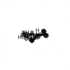 NC(=O)[C@H]1O[C@@H](CNC(=O)CC[C@H](NC(=O)OCC2c3ccccc3-c3ccccc32)C(=O)OCc2ccccc2)[C@H](O)[C@@H](O)[C@@H]1O